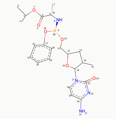 CC(C)OC(=O)[C@H](C)N[P@@](OCC1CC(C)C(n2ccc(N)nc2=O)O1)Oc1ccccc1